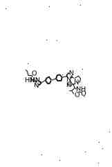 CCCC(=O)Nc1ncc(-c2ccc(-c3ccc(-c4cnc(C5CCCN5C(=O)C(NC(=O)OC)C(C)C)[nH]4)cc3)cc2)[nH]1